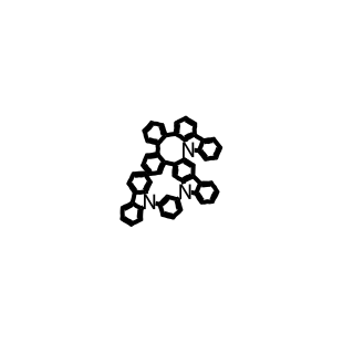 c1cc(-n2c3ccccc3c3ccccc32)cc(-n2c3ccccc3c3cc4c(cc32)c2ccccc2c2ccccc2c2cccc3c5ccccc5n4c23)c1